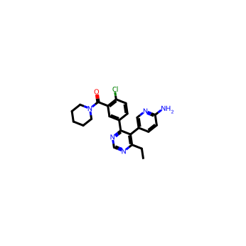 CCc1ncnc(-c2ccc(Cl)c(C(=O)N3CCCCC3)c2)c1-c1ccc(N)nc1